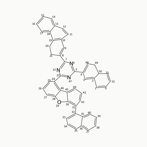 C1=CC2=CC(c3nc(C4=Cc5ccc6ccccc6c5CC4)nc(-c4cccc5oc6c(-c7cccc8ccccc78)cccc6c45)n3)=CCC2C=C1